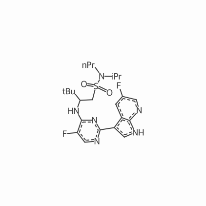 CCCN(C(C)C)S(=O)(=O)CC(Nc1nc(-c2c[nH]c3ncc(F)cc23)ncc1F)C(C)(C)C